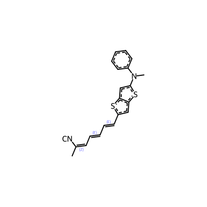 [C-]#[N+]\C(C)=C/C=C/C=C/c1cc2sc(N(C)c3ccccc3)cc2s1